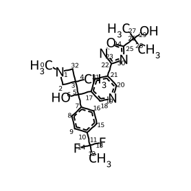 CN1CC(C)(C(O)(c2ccc(C(C)(F)F)cc2)c2cncc(-c3noc(C(C)(C)O)n3)c2)C1